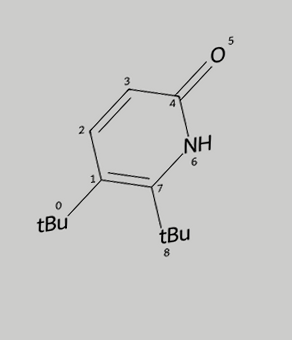 CC(C)(C)c1ccc(=O)[nH]c1C(C)(C)C